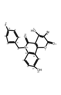 O=c1oc2c(c(O)c1Br)c(=O)n(Cc1ccc(F)cc1)c1ccc(O)cc21